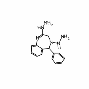 NNC1=Nc2ccccc2C(c2ccccc2)N(NN)C1